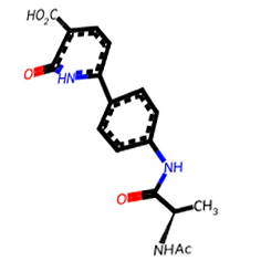 CC(=O)N[C@H](C)C(=O)Nc1ccc(-c2ccc(C(=O)O)c(=O)[nH]2)cc1